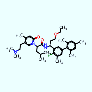 CCOCC[C@H](NC(=O)C(CC(C)C)n1cc(CCN(C)C)c(C)cc1=O)c1cc(-c2c(C)cc(C)cc2C)cc(C)c1F